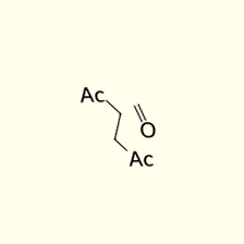 C=O.CC(=O)CCC(C)=O